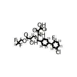 CC(F)(F)COC(=O)[C@H](O)CN(Cc1ccc(-c2cc(Cl)ccc2F)cc1)NC(=O)C(=O)O